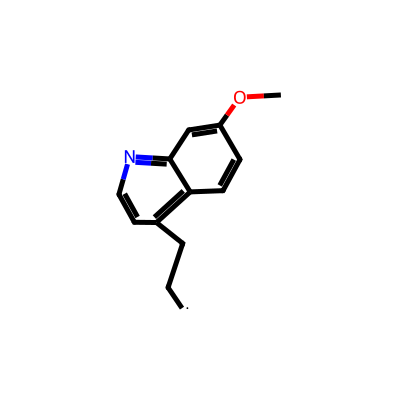 [CH2]CCc1ccnc2cc(OC)ccc12